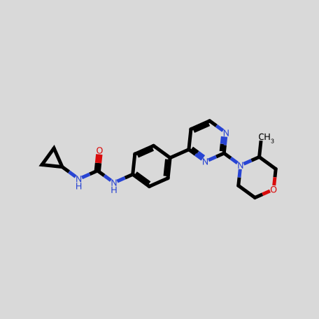 CC1COCCN1c1nccc(-c2ccc(NC(=O)NC3CC3)cc2)n1